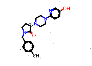 Cc1ccc(CN2CC[C@H](N3CCN(c4ccc(O)cn4)CC3)C2=O)cc1